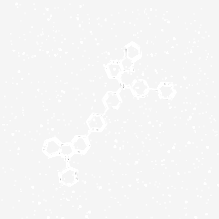 c1ccc(-c2ccc(N(c3ccc(-c4ccc(-c5ccc6c(c5)c5ccccc5n6-c5ccccc5)cc4)cc3)c3cccc4c3oc3ccccc34)cc2)cc1